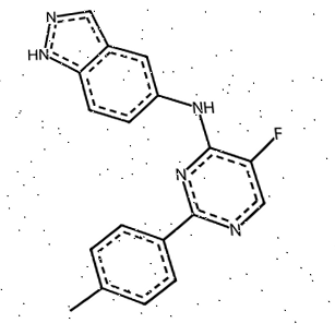 Cc1ccc(-c2ncc(F)c(Nc3ccc4[nH]ncc4c3)n2)cc1